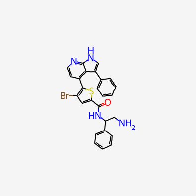 NCC(NC(=O)c1cc(Br)c(-c2ccnc3[nH]cc(-c4ccccc4)c23)s1)c1ccccc1